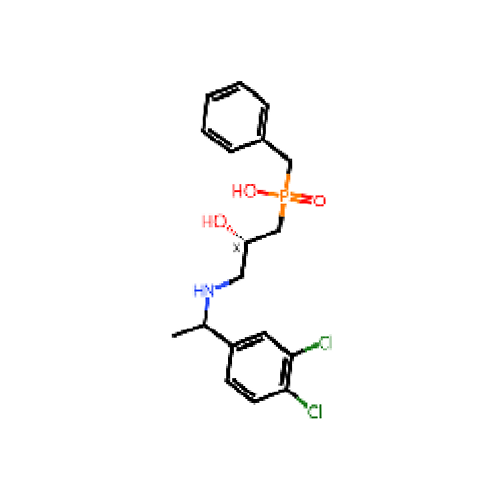 CC(NC[C@H](O)CP(=O)(O)Cc1ccccc1)c1ccc(Cl)c(Cl)c1